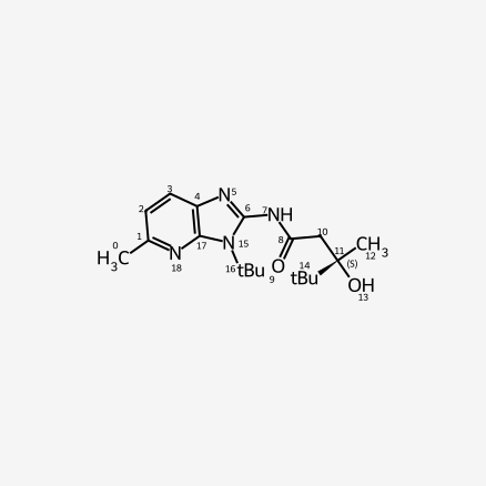 Cc1ccc2nc(NC(=O)C[C@](C)(O)C(C)(C)C)n(C(C)(C)C)c2n1